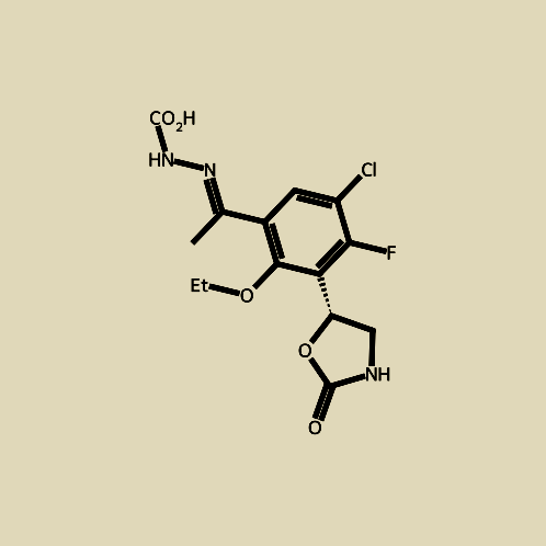 CCOc1c(/C(C)=N/NC(=O)O)cc(Cl)c(F)c1[C@@H]1CNC(=O)O1